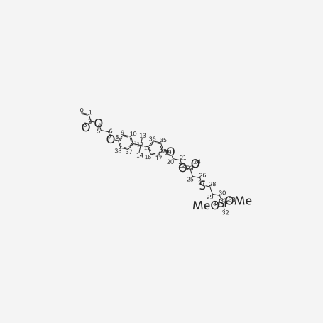 C=CC(=O)OCCOc1ccc(C(C)(C)c2ccc(OCCOC(=O)CCSCCC[Si](C)(OC)OC)cc2)cc1